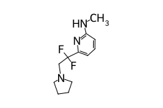 CNc1cccc(C(F)(F)CN2CCCC2)n1